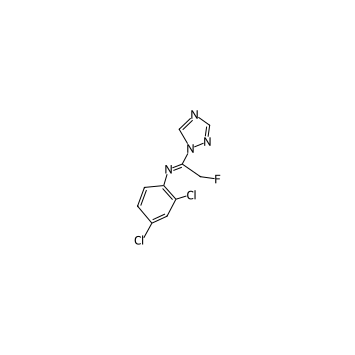 FCC(=Nc1ccc(Cl)cc1Cl)n1cncn1